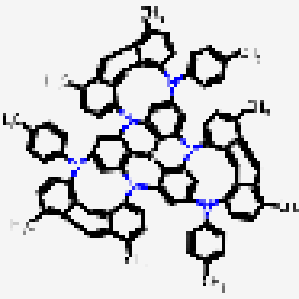 Cc1ccc(N2c3cc4c5c(c3)N3c6cc(cc7c6B5c5c6cc(cc5N4c4ccc(C)c5cc8c(C)ccc2c8cc45)N(c2ccc(C)cc2)c2ccc(C)c4cc5c(C)ccc(c5cc24)N67)N(c2ccc(C)cc2)c2ccc(C)c4cc5c(C)ccc3c5cc24)cc1